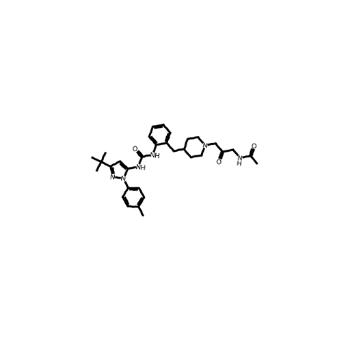 CC(=O)NCC(=O)CN1CCC(Cc2ccccc2NC(=O)Nc2cc(C(C)(C)C)nn2-c2ccc(C)cc2)CC1